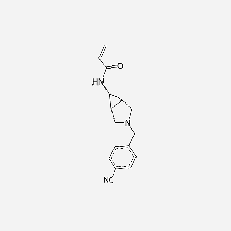 C=CC(=O)NC1C2CN(Cc3ccc(C#N)cc3)CC21